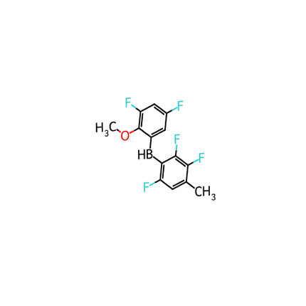 COc1c(F)cc(F)cc1Bc1c(F)cc(C)c(F)c1F